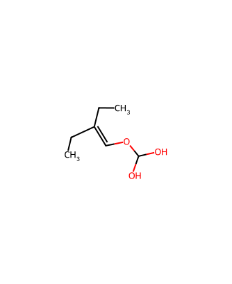 CCC(=COC(O)O)CC